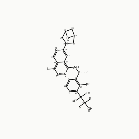 Cc1nnc(N[C@H](C)c2cccc(C(F)(F)C(C)(C)O)c2F)c2cc(N3CC4CC(C3)O4)ncc12